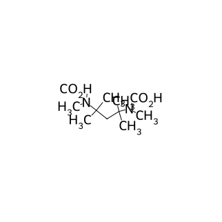 CN(C(=O)O)C(C)(C)CC(C)(C)N(C)C(=O)O